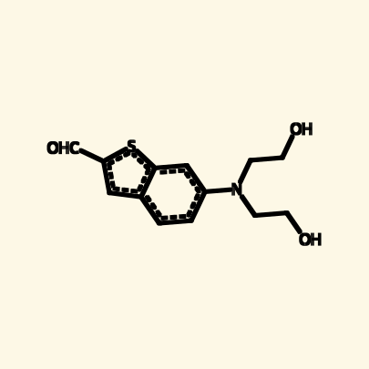 O=Cc1cc2ccc(N(CCO)CCO)cc2s1